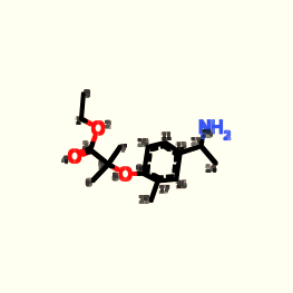 CCOC(=O)C(C)(C)Oc1ccc(C(C)N)cc1C